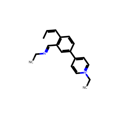 C/C=C\c1ccc(-c2cc[n+](CC#N)cc2)cc1/C=N/CC#N